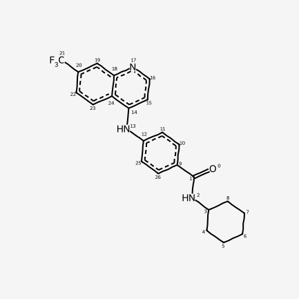 O=C(NC1CCCCC1)c1ccc(Nc2ccnc3cc(C(F)(F)F)ccc23)cc1